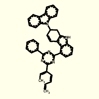 C=C/C=C\C(=C/C)c1nc(-c2ccccc2)nc(-c2cccc3[nH]c4c(c23)C=CC(n2c3ccccc3c3ccccc32)C4)n1